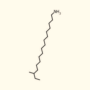 CCC(C)CCCCCCCCCCCCCCN